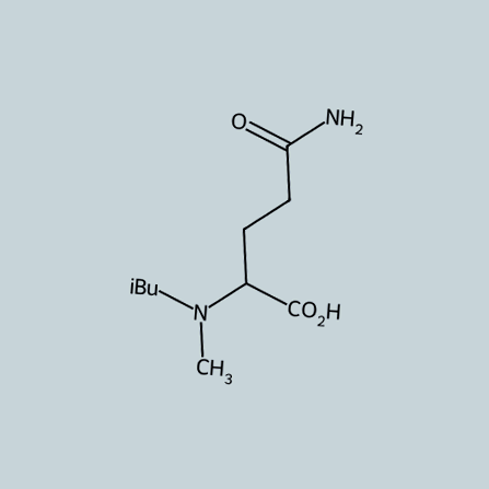 CCC(C)N(C)C(CCC(N)=O)C(=O)O